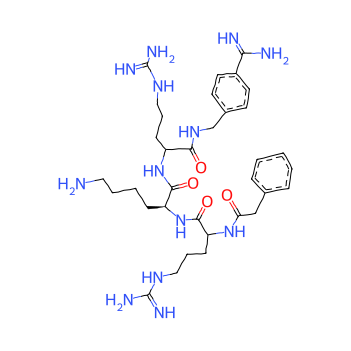 N=C(N)NCCCC(NC(=O)Cc1ccccc1)C(=O)N[C@@H](CCCCN)C(=O)NC(CCCNC(=N)N)C(=O)NCc1ccc(C(=N)N)cc1